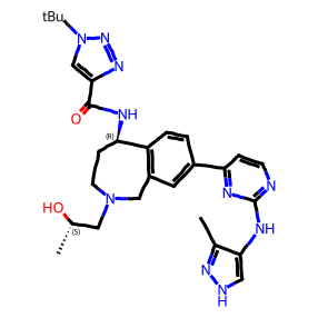 Cc1n[nH]cc1Nc1nccc(-c2ccc3c(c2)CN(C[C@H](C)O)CC[C@H]3NC(=O)c2cn(C(C)(C)C)nn2)n1